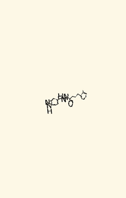 Cc1ccccc1CCCC(=O)N/N=C/c1ccc2[nH]cnc2c1